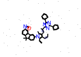 C=Cc1c(/C=C\C)c(/C=C(\C)c2nc(-c3ccccc3)nc(-c3ccccc3)n2)c(C)n1-c1ccc2c(c1)-c1c(ccc3ncoc13)C2(C)C